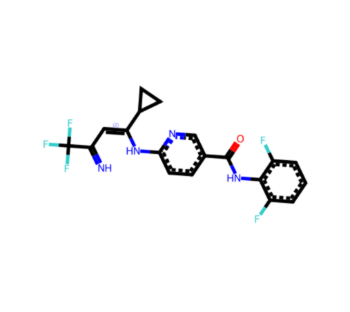 N=C(/C=C(\Nc1ccc(C(=O)Nc2c(F)cccc2F)cn1)C1CC1)C(F)(F)F